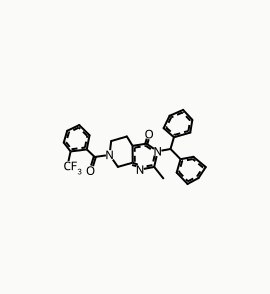 Cc1nc2c(c(=O)n1C(c1ccccc1)c1ccccc1)CCN(C(=O)c1ccccc1C(F)(F)F)C2